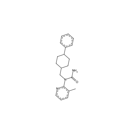 Cc1cccnc1N(CC1CCC(c2ccccc2)CC1)C(N)=O